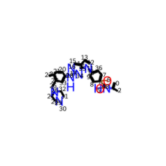 C=C(C)NS(=O)(=O)c1ccc(-n2ccc3cnc(Nc4ccc(C)c(CN5CCN(C)CC5)c4)nc32)cc1